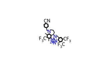 Cc1cc2c(c(C)c1C(F)(F)F)N(Cc1ccc(C#N)cc1)CCCC2N(Cc1cc(C(F)(F)F)cc(C(F)(F)F)c1)c1nnn(C)n1